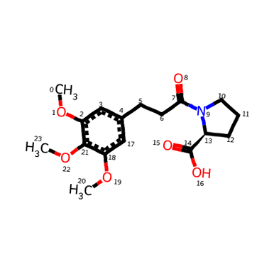 COc1cc(CCC(=O)N2CCC[C@H]2C(=O)O)cc(OC)c1OC